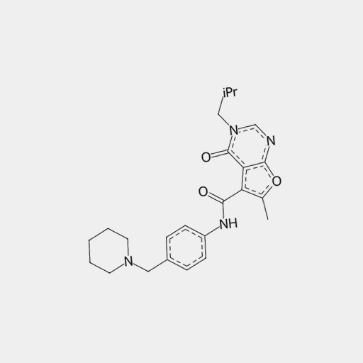 Cc1oc2ncn(CC(C)C)c(=O)c2c1C(=O)Nc1ccc(CN2CCCCC2)cc1